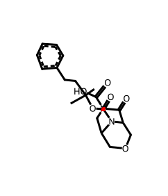 CC(C)(CCc1ccccc1)OC(=O)N1C2COCC1C(=O)N(C(=O)O)C2